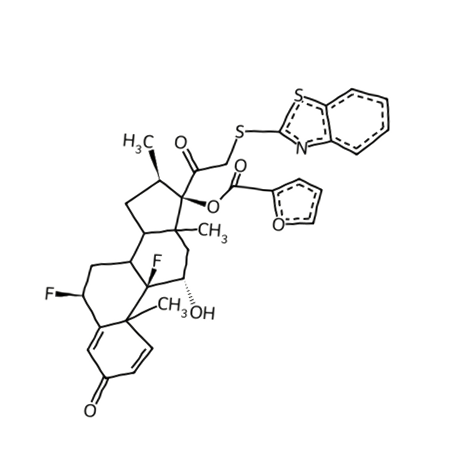 C[C@@H]1CC2C3C[C@H](F)C4=CC(=O)C=CC4(C)[C@@]3(F)[C@@H](O)CC2(C)[C@@]1(OC(=O)c1ccco1)C(=O)CSc1nc2ccccc2s1